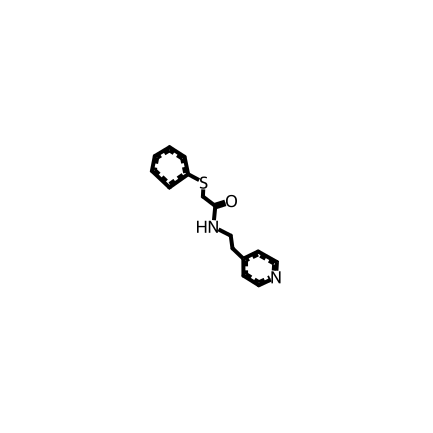 O=C(CSc1ccccc1)NCCc1ccncc1